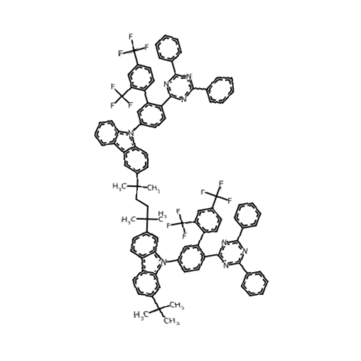 CC(C)(C)c1ccc2c3ccc(C(C)(C)CCC(C)(C)c4ccc5c(c4)c4ccccc4n5-c4ccc(-c5nc(-c6ccccc6)nc(-c6ccccc6)n5)c(-c5ccc(C(F)(F)F)cc5C(F)(F)F)c4)cc3n(-c3ccc(-c4nc(-c5ccccc5)nc(-c5ccccc5)n4)c(-c4ccc(C(F)(F)F)cc4C(F)(F)F)c3)c2c1